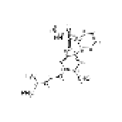 COC(C)OCOc1ccc(-c2ccccc2S(=O)(=O)NC(C)(C)C)cc1C=O